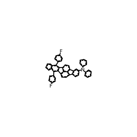 Fc1ccc(-c2c3c(c(-c4ccc(F)cc4)c4ccccc24)-c2ccc4c5c(ccc-3c25)-c2ccc(N(c3ccccc3)c3ccccc3)cc2-4)cc1